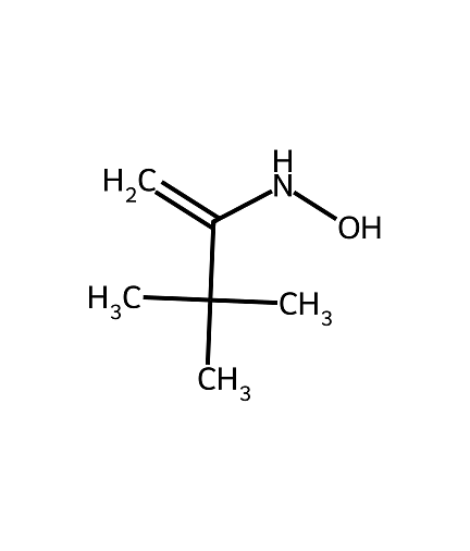 C=C(NO)C(C)(C)C